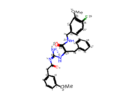 COc1cccc(CC(=O)N=C(N)NC(Cc2ccccc2)C(=O)NCc2ccc(F)c(OC)c2)c1